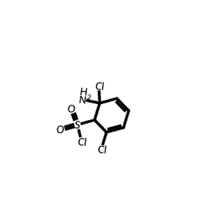 NC1(Cl)C=CC=C(Cl)C1S(=O)(=O)Cl